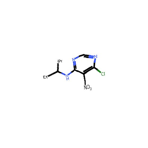 CCC(Nc1ncnc(Cl)c1[N+](=O)[O-])C(C)C